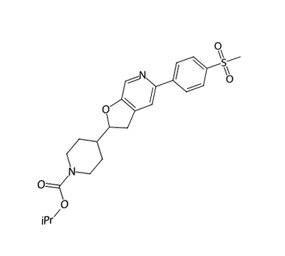 CC(C)OC(=O)N1CCC(C2Cc3cc(-c4ccc(S(C)(=O)=O)cc4)ncc3O2)CC1